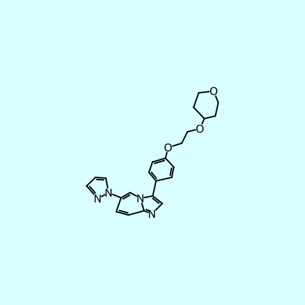 c1cnn(-c2ccc3ncc(-c4ccc(OCCOC5CCOCC5)cc4)n3c2)c1